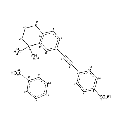 CCOC(=O)c1ccc(C#Cc2ccc3c(c2)C(C)(C)CCS3)nc1.O=C(O)c1ccccc1